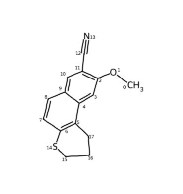 COc1cc2c3c(ccc2cc1C#N)SCCC3